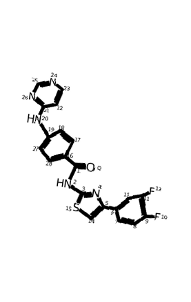 O=C(Nc1nc(-c2ccc(F)c(F)c2)cs1)c1ccc(Nc2ccncn2)cc1